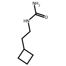 NC(=O)NCCC1CCC1